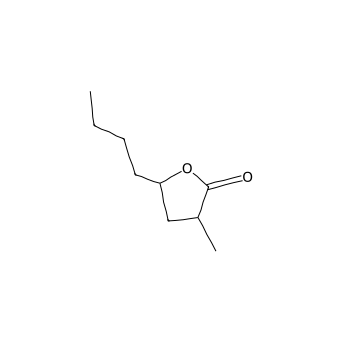 CCCCC1CC(C)C(=O)O1